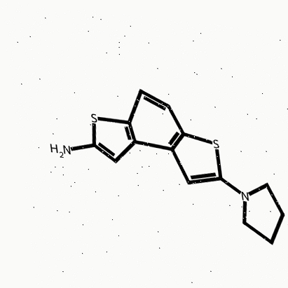 Nc1cc2c(ccc3sc(N4CCCC4)cc32)s1